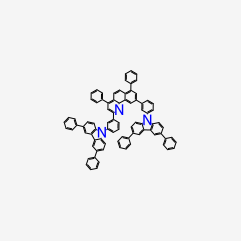 c1ccc(-c2ccc3c(c2)c2cc(-c4ccccc4)ccc2n3-c2cccc(-c3cc(-c4ccccc4)c4ccc5c(-c6ccccc6)cc(-c6cccc(-n7c8ccc(-c9ccccc9)cc8c8cc(-c9ccccc9)ccc87)c6)nc5c4c3)c2)cc1